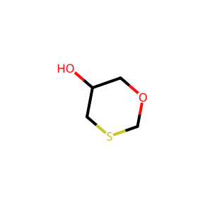 OC1COCSC1